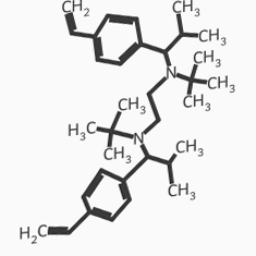 C=Cc1ccc(C(C(C)C)N(CCN(C(c2ccc(C=C)cc2)C(C)C)C(C)(C)C)C(C)(C)C)cc1